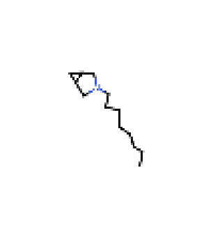 CCCCCCCCN1CC2CC2C1